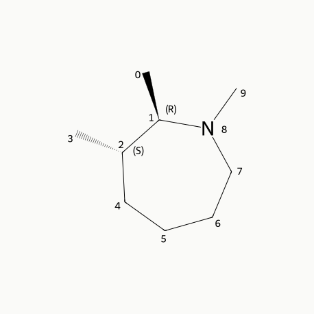 C[C@@H]1[C@@H](C)CCCCN1C